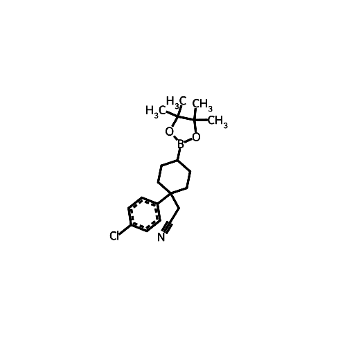 CC1(C)OB(C2CCC(CC#N)(c3ccc(Cl)cc3)CC2)OC1(C)C